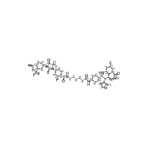 Cn1ncnc1C1c2n[nH]c(=O)c3cc(F)cc(c23)NC1c1ccc(NC(=O)CCCCCNC(=O)c2ccc(N3C(=S)N(c4ccc(C#N)c(C(F)(F)F)c4)C(=O)C3(C)C)cc2F)cc1